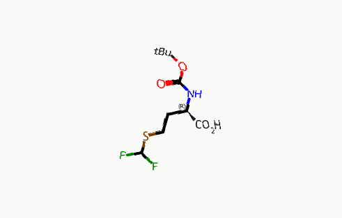 CC(C)(C)OC(=O)N[C@H](CCSC(F)F)C(=O)O